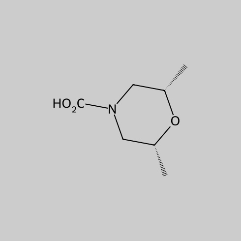 C[C@@H]1CN(C(=O)O)C[C@H](C)O1